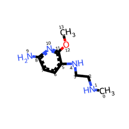 CNCCNc1ccc(N)nc1OC